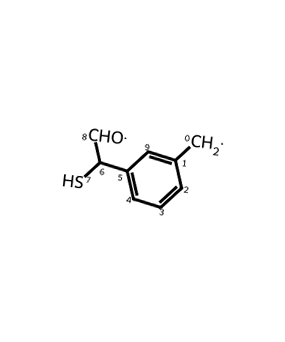 [CH2]c1cccc(C(S)[C]=O)c1